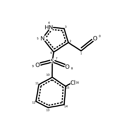 O=Cc1c[nH]nc1S(=O)(=O)c1ccccc1Cl